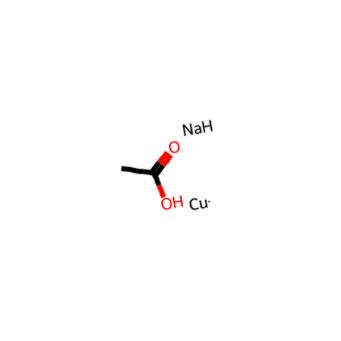 CC(=O)O.[Cu].[NaH]